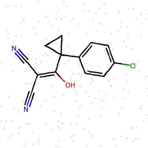 N#CC(C#N)=C(O)C1(c2ccc(Cl)cc2)CC1